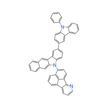 c1ccc(-n2c3ccccc3c3cc(-c4ccc5c(c4)c4cc6ccccc6cc4n5-c4ccc5c6c(cccc46)-c4cccnc4-5)ccc32)cc1